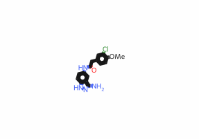 COc1ccc(CC(=O)Nc2ccc3[nH]nc(N)c3c2)cc1Cl